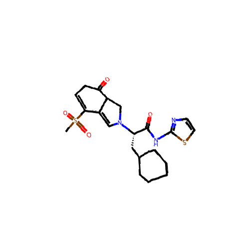 CS(=O)(=O)C1=CCC(=O)C2CN([C@@H](CC3CCCCC3)C(=O)Nc3nccs3)C=C12